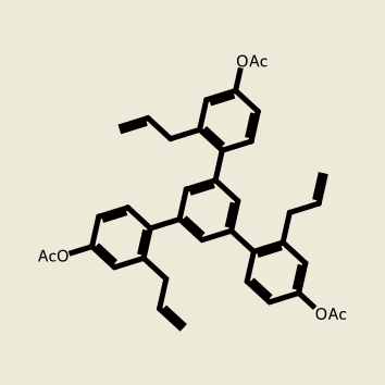 C=CCc1cc(OC(C)=O)ccc1-c1cc(-c2ccc(OC(C)=O)cc2CC=C)cc(-c2ccc(OC(C)=O)cc2CC=C)c1